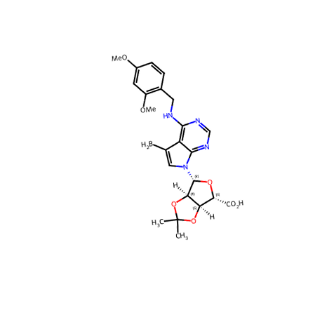 Bc1cn([C@@H]2O[C@H](C(=O)O)[C@H]3OC(C)(C)O[C@H]32)c2ncnc(NCc3ccc(OC)cc3OC)c12